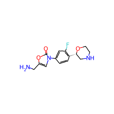 NCc1cn(-c2ccc([C@H]3CNCCO3)c(F)c2)c(=O)o1